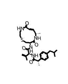 C=C(C)[C@H](NC(=O)[C@@H](C)c1ccc(CC(C)C)cc1)C(=O)N[C@H]1CSCCNC(=O)/C=C/[C@H](C)NC1=O